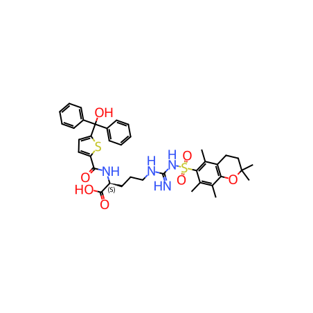 Cc1c(C)c(S(=O)(=O)NC(=N)NCCC[C@H](NC(=O)c2ccc(C(O)(c3ccccc3)c3ccccc3)s2)C(=O)O)c(C)c2c1OC(C)(C)CC2